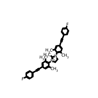 CC1=[N+](c2c(C)cc(C#Cc3ccc(F)cc3)cc2C)CCN1c1c(C)cc(C#Cc2ccc(F)cc2)cc1C